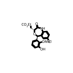 CCOC(=O)C[C@H]1O[C@H](c2cccc(O)c2OC)c2cc(Cl)ccc2NC1=O